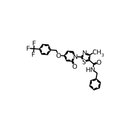 Cc1nc(-n2ccc(OCc3ccc(C(F)(F)F)cc3)cc2=O)sc1C(=O)NCc1ccccc1